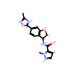 Cc1noc(-c2ccc3c(c2)OCC3NC(=O)c2ccnn2C)n1